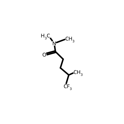 CC(CCC(=O)N(C)C)C(F)(F)F